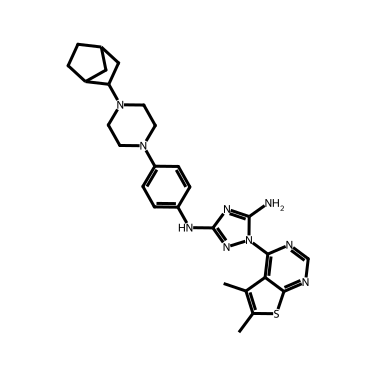 Cc1sc2ncnc(-n3nc(Nc4ccc(N5CCN(C6CC7CCC6C7)CC5)cc4)nc3N)c2c1C